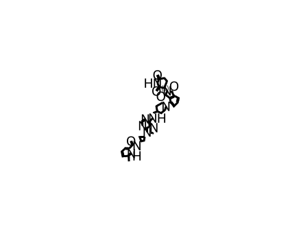 Cc1cccc(C(=O)NC2CC(n3cnc4c(NCC5CCN(c6cccc7c6C(=O)N([C@H]6CCC(=O)NC6=O)C7=O)CC5)ncnc43)C2)n1